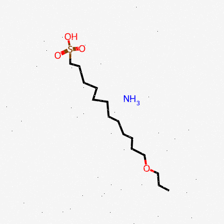 CCCOCCCCCCCCCCCCS(=O)(=O)O.N